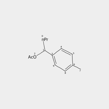 CCCC(OC(C)=O)c1ccc(C)cc1